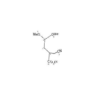 CCOC(=O)C(C#N)CC(OC)OC